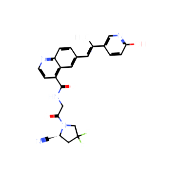 C/C(=C\c1ccc2nccc(C(=O)NCC(=O)N3CC(F)(F)C[C@H]3C#N)c2c1)c1ccc(O)nc1